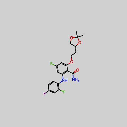 CC1(C)OC[C@@H](CCOc2cc(F)cc(Nc3ccc(I)cc3F)c2C(N)=O)O1